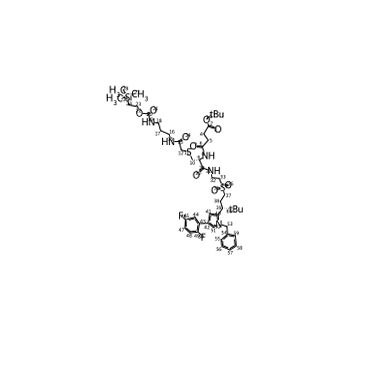 CC(C)(C)OC(=O)CCC(=O)N[C@@H](CSCC(=O)NCCCNC(=O)OCC[Si](C)(C)C)C(=O)NCCS(=O)(=O)CC[C@@H](c1cc(-c2cc(F)ccc2F)cn1Cc1ccccc1)C(C)(C)C